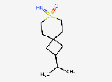 CC(C)C1CC2(CCS(=N)(=O)CC2)C1